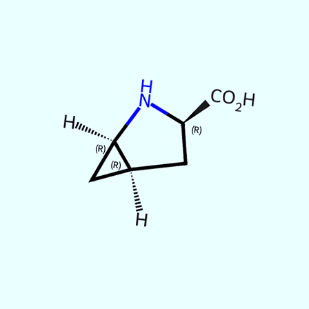 O=C(O)[C@H]1C[C@H]2C[C@H]2N1